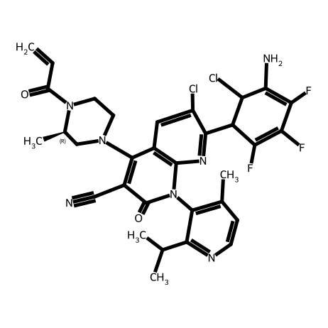 C=CC(=O)N1CCN(c2c(C#N)c(=O)n(-c3c(C)ccnc3C(C)C)c3nc(C4C(F)=C(F)C(F)=C(N)C4Cl)c(Cl)cc23)C[C@H]1C